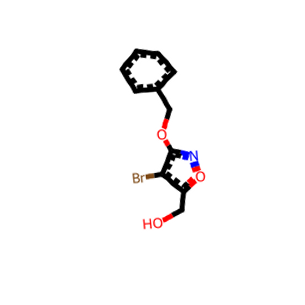 OCc1onc(OCc2ccccc2)c1Br